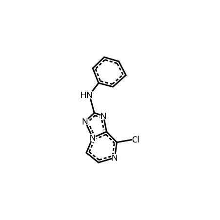 Clc1nccn2nc(Nc3ccccc3)nc12